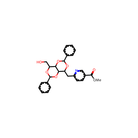 COC(=O)c1ccc(CC2OC(c3ccccc3)OC3C(CO)OC(c4ccccc4)OC23)nc1